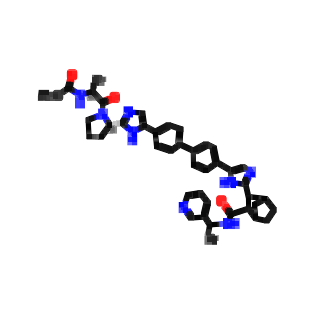 COC(=O)N[C@H](C(=O)N1CCC[C@H]1c1ncc(-c2ccc(-c3ccc(-c4cnc(C5C6CCC(C6)C5C(=O)NC(c5cccnc5)C(C)C)[nH]4)cc3)cc2)[nH]1)C(C)C